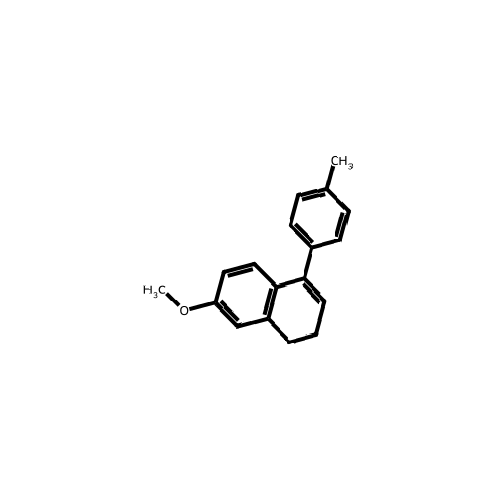 COc1ccc2c(c1)CCC=C2c1ccc(C)cc1